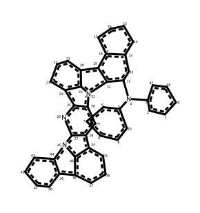 c1ccc(N(c2ccccc2)c2cc3ccccc3c3c4cccc5c6nc7c(cc6n(c23)c54)c2cccc3c4ccccc4n7c32)cc1